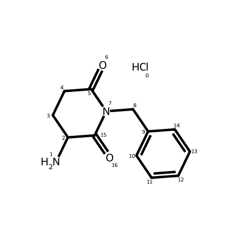 Cl.NC1CCC(=O)N(Cc2ccccc2)C1=O